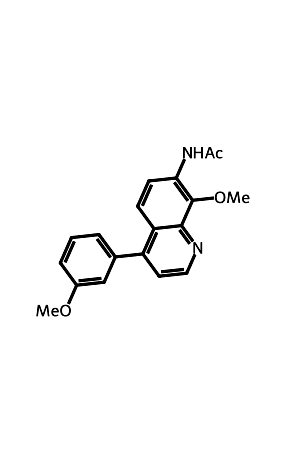 COc1cccc(-c2ccnc3c(OC)c(NC(C)=O)ccc23)c1